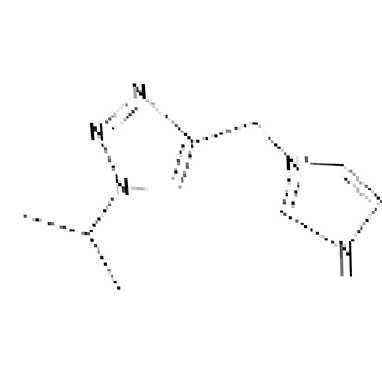 CC(C)n1cc(C[n+]2cc[nH]c2)nn1